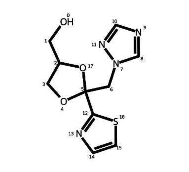 OCC1COC(Cn2cncn2)(c2nccs2)O1